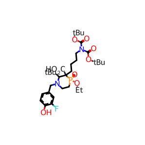 CCOP1(=O)CCN(Cc2ccc(O)c(F)c2)C(C(C)(C)C)C1(CCCCN(C(=O)OC(C)(C)C)C(=O)OC(C)(C)C)C(=O)O